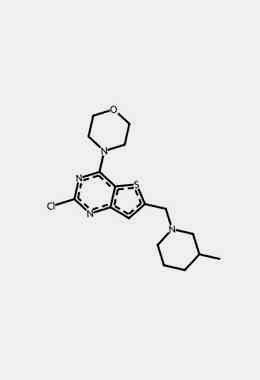 CC1CCCN(Cc2cc3nc(Cl)nc(N4CCOCC4)c3s2)C1